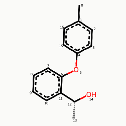 Cc1ccc(Oc2ccccc2[C@@H](C)O)cc1